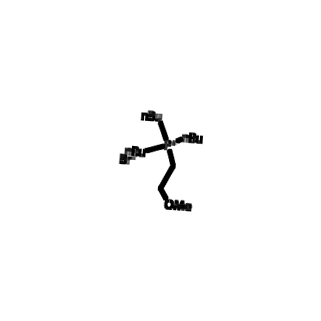 CCCC[P+](CCCC)(CCCC)CCOC.[Br-]